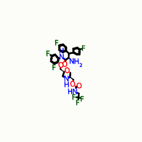 N[C@H](C(=O)Nc1cc(F)cc(F)c1OC[C@@H]1CN[C@H](COC(=O)NCC(F)(F)F)CO1)C(c1ccc(F)cc1)c1ccc(F)cc1